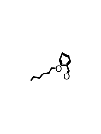 CCCCCCOc1ccccc1C=O